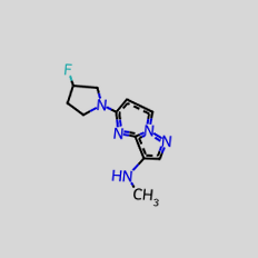 CNc1cnn2ccc(N3CCC(F)C3)nc12